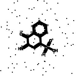 N=C1C=C(S(=O)(=O)O)c2ccccc2C1=O